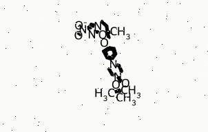 CC(C)(C)OC(=O)N1CCN(c2ccc(OCC3(C)CCn4cc([N+](=O)[O-])nc4O3)cc2)CC1